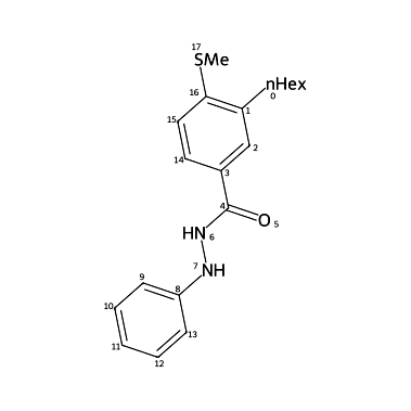 CCCCCCc1cc(C(=O)NNc2ccccc2)ccc1SC